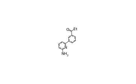 CCC(=O)c1cccc(-c2cccc(N)n2)c1